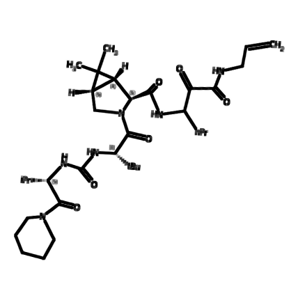 C=CCNC(=O)C(=O)C(CCC)NC(=O)[C@@H]1[C@@H]2[C@H](CN1C(=O)[C@@H](NC(=O)N[C@H](C(=O)N1CCCCC1)C(C)C)C(C)(C)C)C2(C)C